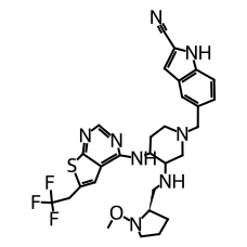 CON1CCC[C@@H]1CNC1CN(Cc2ccc3[nH]c(C#N)cc3c2)CCC1Nc1ncnc2sc(CC(F)(F)F)cc12